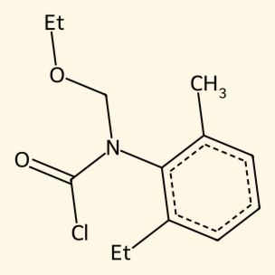 CCOCN(C(=O)Cl)c1c(C)cccc1CC